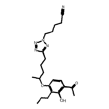 CCCc1c(OC(C)CCCc2nnn(CCCCC#N)n2)ccc(C(C)=O)c1O